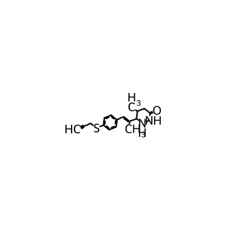 C#CCSc1ccc(/C=C(\C)C2NNC(=O)CC2C)cc1